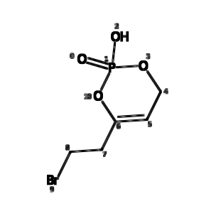 O=P1(O)OCC=C(CCBr)O1